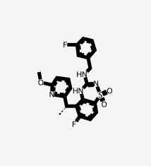 COc1cccc([C@@H](C)c2c(F)ccc3c2NC(NCc2cccc(F)c2)=NS3(=O)=O)n1